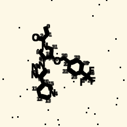 C=CC(=O)N1C[C@@H](n2cc(-c3cccnc3)nn2)[C@H](OCc2ccc(C(F)(F)F)cc2)C1